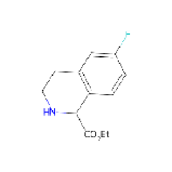 CCOC(=O)C1NCCc2cc(F)ccc21